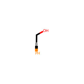 OCB=P